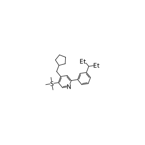 CCC(CC)c1cccc(-c2cc(CC3CCCC3)c(S(C)(C)C)cn2)c1